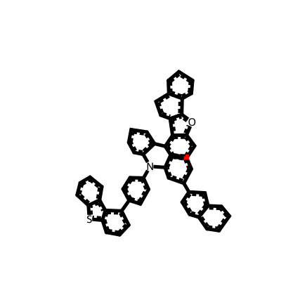 c1cc(-c2ccc3ccccc3c2)cc(N(c2ccc(-c3cccc4sc5ccccc5c34)cc2)c2ccccc2-c2cccc3oc4c5ccccc5ccc4c23)c1